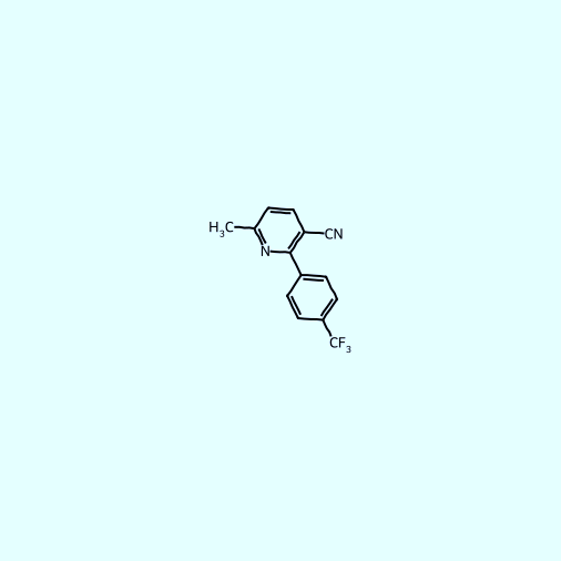 Cc1ccc(C#N)c(-c2ccc(C(F)(F)F)cc2)n1